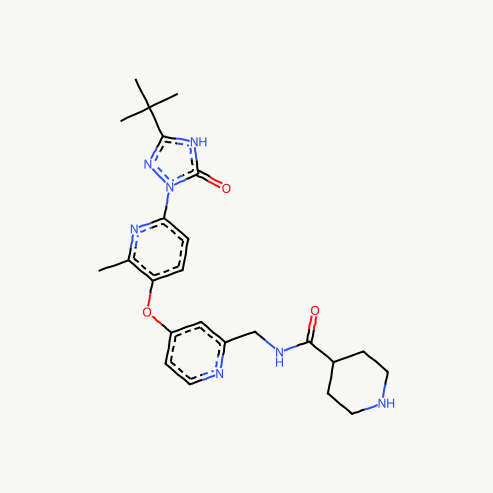 Cc1nc(-n2nc(C(C)(C)C)[nH]c2=O)ccc1Oc1ccnc(CNC(=O)C2CCNCC2)c1